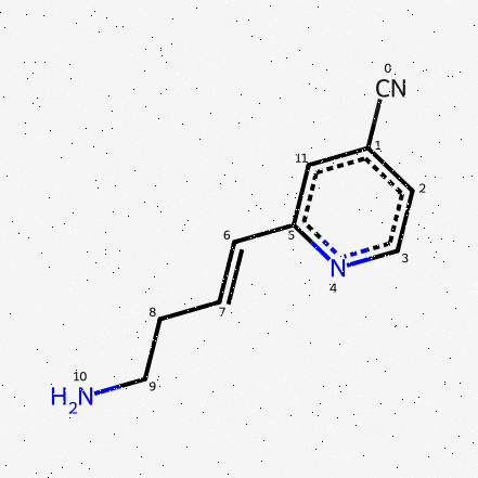 N#Cc1ccnc(/C=C/CCN)c1